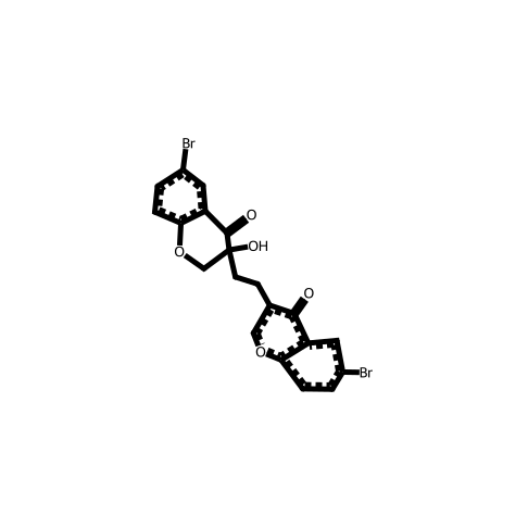 O=C1c2cc(Br)ccc2OCC1(O)CCc1coc2ccc(Br)cc2c1=O